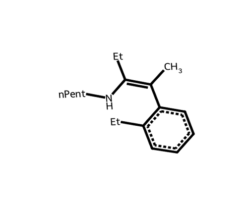 CCCCCNC(CC)=C(C)c1ccccc1CC